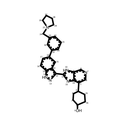 OC1CCC(c2cncc3[nH]c(-c4n[nH]c5ccc(-c6cccc(CN7CCCC7)c6)cc45)nc23)CC1